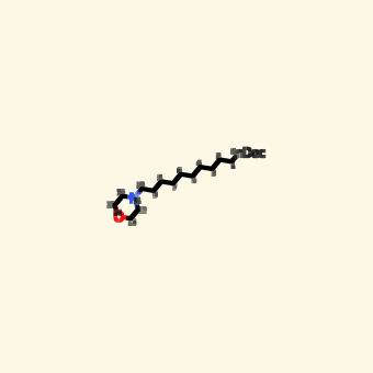 CCCCCCCCCCCCCCCCCCCCN1CCOCC1